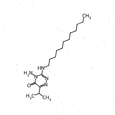 CCCCCCCCCCCCNc1nnc(C(C)C)c(=O)n1N